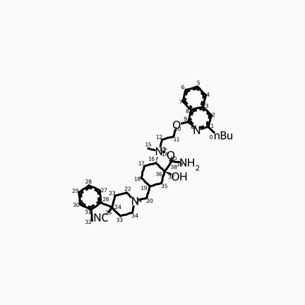 CCCCc1cc2ccccc2c(OCC[N+](C)(C)[C@H]2CCC(CN3CCC(C#N)(c4ccccc4C)CC3)C[C@@]2(O)C(N)=O)n1